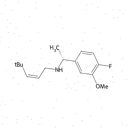 COc1cc([C@@H](C)NC/C=C\C(C)(C)C)ccc1F